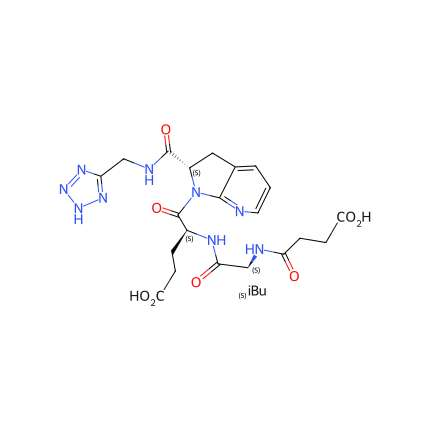 CC[C@H](C)[C@H](NC(=O)CCC(=O)O)C(=O)N[C@@H](CCC(=O)O)C(=O)N1c2ncccc2C[C@H]1C(=O)NCc1nn[nH]n1